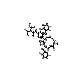 COC(=O)C(NC(=O)N[C@@H](Cc1ccccc1)C(=O)N[C@H]1CCCCNC(=O)/C=C/[C@H](Cc2ccccc2F)NC1=O)C(C)C